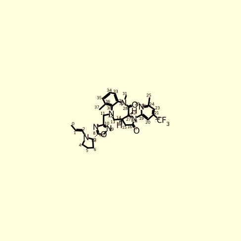 CC=CN1CCC[C@H]1c1nc(CN2C[C@H]3CC(=O)N(c4cc(C(F)(F)F)cc(C)n4)[C@@H]3C(=O)N(C)c3cccc(C)c32)no1